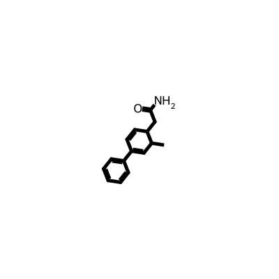 CC1C=C(c2ccccc2)C=CC1CC(N)=O